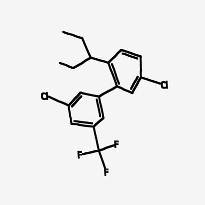 CCC(CC)c1ccc(Cl)cc1-c1cc(Cl)cc(C(F)(F)F)c1